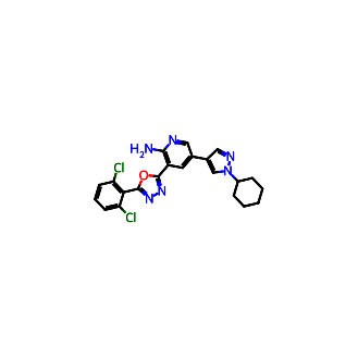 Nc1ncc(-c2cnn(C3CCCCC3)c2)cc1-c1nnc(-c2c(Cl)cccc2Cl)o1